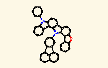 c1ccc(-n2c3ccccc3c3c2ccc2c4ccc5oc6ccccc6c5c4n(-c4ccc5c(c4)-c4cccc6cccc-5c46)c23)cc1